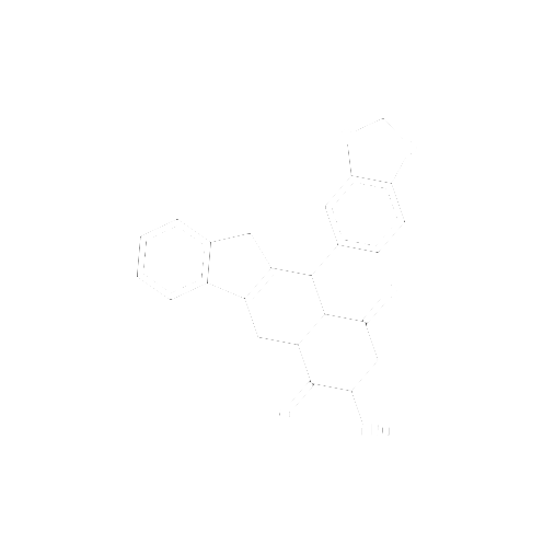 CCCCC1CC(=O)C2C(CC3=C(Cc4ccccc43)C2c2ccc3c(c2)OCO3)C1=O